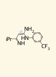 CC(C)C(=N)/C=C(/N)Nc1cccc(C(F)(F)F)c1